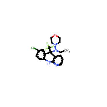 CCN(N1CCOCC1)C1(C(F)(F)F)c2cc(Cl)ccc2Nc2ncccc21